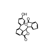 O=C1OC([C]2OC(=O)c3cccc(-c4ccc(O)cc4)c32)c2ccccc21